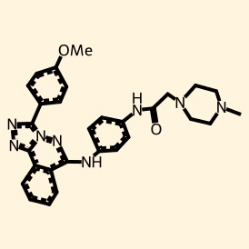 COc1ccc(-c2nnc3c4ccccc4c(Nc4ccc(NC(=O)CN5CCN(C)CC5)cc4)nn23)cc1